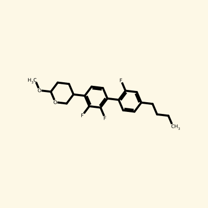 CCCCc1ccc(-c2ccc(C3CCC(OC)OC3)c(F)c2F)c(F)c1